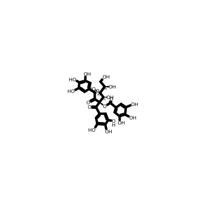 O=C(O[C@](C(=O)C(=O)c1cc(O)c(O)c(O)c1)(C(=O)c1cc(O)c(O)c(O)c1)[C@@H](O)[C@H](O)[C@H](O)CO)c1cc(O)c(O)c(O)c1